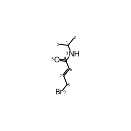 CC(C)NC(=O)/C=C/CBr